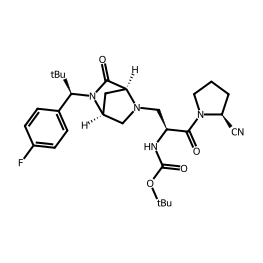 CC(C)(C)OC(=O)N[C@@H](CN1C[C@@H]2C[C@H]1C(=O)N2[C@@H](c1ccc(F)cc1)C(C)(C)C)C(=O)N1CCC[C@H]1C#N